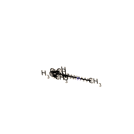 CCCCCCCC/C=C/CCCCCCCC(=O)NCCCC1=C(C)C=C2C(=O)[C@@H](C)C3(CC3)C(C)=C21